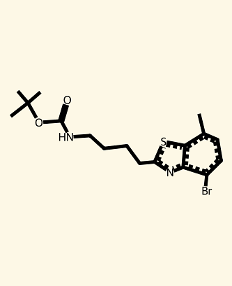 Cc1ccc(Br)c2nc(CCCCNC(=O)OC(C)(C)C)sc12